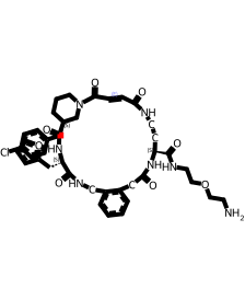 NCCOCCNC(=O)[C@@H]1CCNC(=O)/C=C/C(=O)N2CCC[C@](Cc3ccc(Cl)cc3)(C2)C(=O)N[C@@H](Cc2ccco2)C(=O)NCc2ccccc2CC(=O)N1